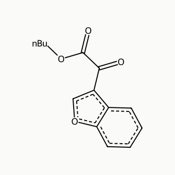 CCCCOC(=O)C(=O)c1coc2ccccc12